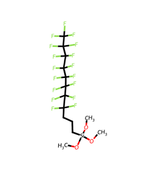 CO[Si](CCCC(F)(F)C(F)(F)C(F)(F)C(F)(F)C(F)(F)C(F)(F)C(F)(F)C(F)(F)F)(OC)OC